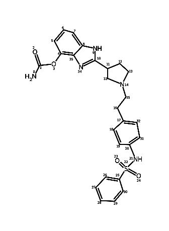 NC(=O)Oc1cccc2[nH]c(C3CCN(CCc4ccc(NS(=O)(=O)c5ccccc5)cc4)C3)nc12